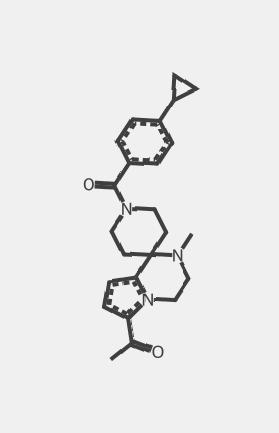 CC(=O)c1ccc2n1CCN(C)C21CCN(C(=O)c2ccc(C3CC3)cc2)CC1